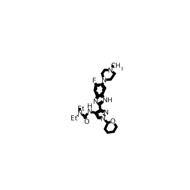 CCN(CC)C(=O)Nc1cn(C2CCCCO2)nc1-c1nc2cc(F)c(N3CCN(C)CC3)cc2[nH]1